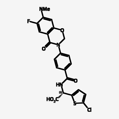 CNc1cc2c(cc1F)C(=O)N(c1ccc(C(=O)N[C@@H](C(=O)O)c3ccc(Cl)s3)cc1)CO2